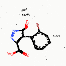 O=C(O)C1=C(c2ccccc2Br)C(=O)N=N1.[NaH].[NaH].[NaH]